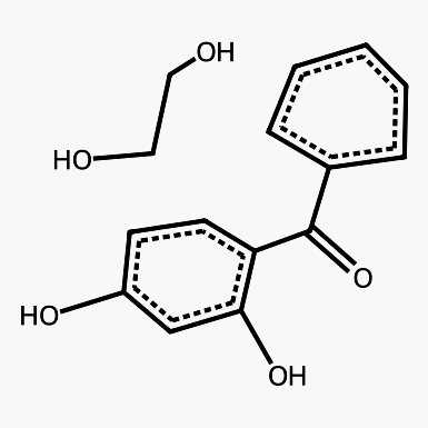 O=C(c1ccccc1)c1ccc(O)cc1O.OCCO